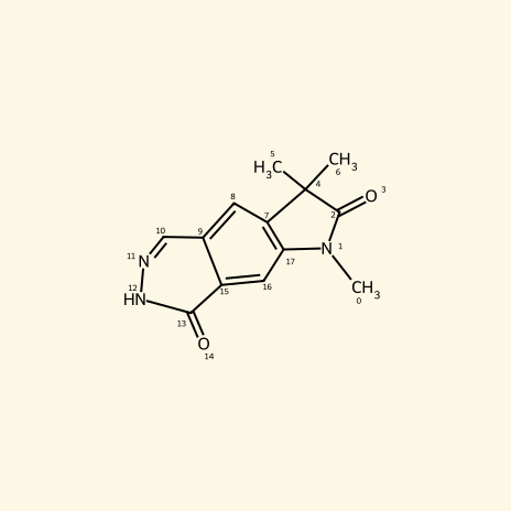 CN1C(=O)C(C)(C)c2cc3cn[nH]c(=O)c3cc21